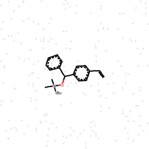 C=Cc1ccc(C(O[Si](C)(C)C(C)(C)C)c2ccccc2)cc1